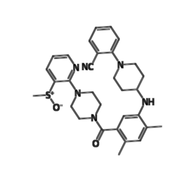 Cc1cc(C)c(C(=O)N2CCN(c3ncccc3[S+](C)[O-])CC2)cc1NC1CCN(c2ccccc2C#N)CC1